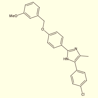 COc1cccc(COc2ccc(-c3nc(C)c(-c4ccc(Cl)cc4)[nH]3)cc2)c1